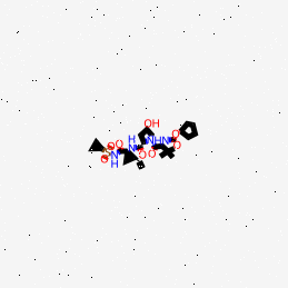 C=C[C@@H]1C[C@]1(NC(=O)[C@@H]1C[C@@H](O)CN1C(=O)[C@@H](NC(=O)OC1CCCC1)C(C)(C)C)C(=O)NS(=O)(=O)C1CC1